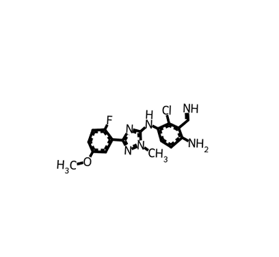 COc1ccc(F)c(-c2nc(Nc3ccc(N)c(C=N)c3Cl)n(C)n2)c1